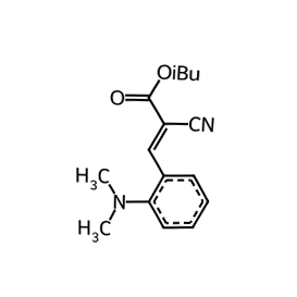 CC(C)COC(=O)/C(C#N)=C/c1ccccc1N(C)C